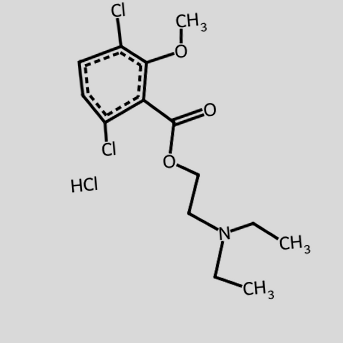 CCN(CC)CCOC(=O)c1c(Cl)ccc(Cl)c1OC.Cl